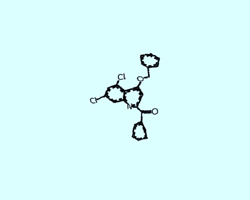 O=C(c1ccccc1)c1cc(OCc2ccccc2)c2c(Cl)cc(Cl)cc2n1